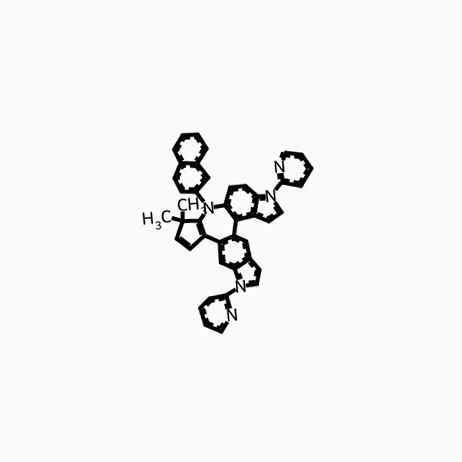 CC1(C)C=CC2=C1N(c1ccc3ccccc3c1)c1ccc3c(ccn3-c3ccccn3)c1-c1cc3ccn(-c4ccccn4)c3cc12